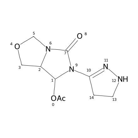 CC(=O)OC1C2COCN2C(=O)N1C1=NNCC1